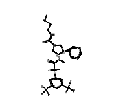 COCCNC(=O)N1C[C@@H](N(C)C(=O)C(C)(C)c2cc(C(F)(F)F)cc(C(F)(F)F)c2)[C@H](c2ccccc2)C1